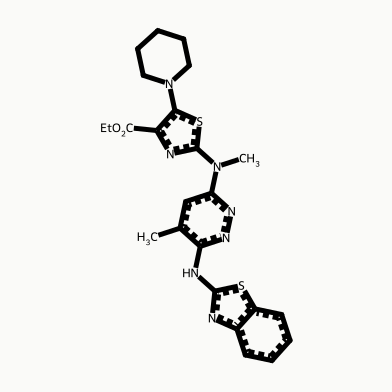 CCOC(=O)c1nc(N(C)c2cc(C)c(Nc3nc4ccccc4s3)nn2)sc1N1CCCCC1